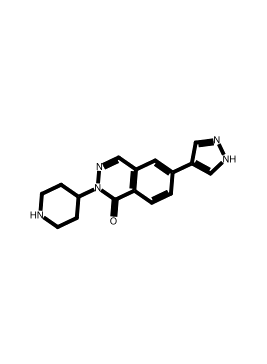 O=c1c2ccc(-c3cn[nH]c3)cc2cnn1C1CCNCC1